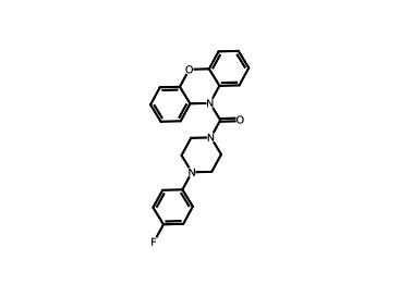 O=C(N1CCN(c2ccc(F)cc2)CC1)N1c2ccccc2Oc2ccccc21